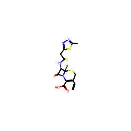 C=CC1=C(C(=O)O)N2C(=O)[C@@H](NC(=S)Cc3nnc(C)s3)[C@@H]2SC1